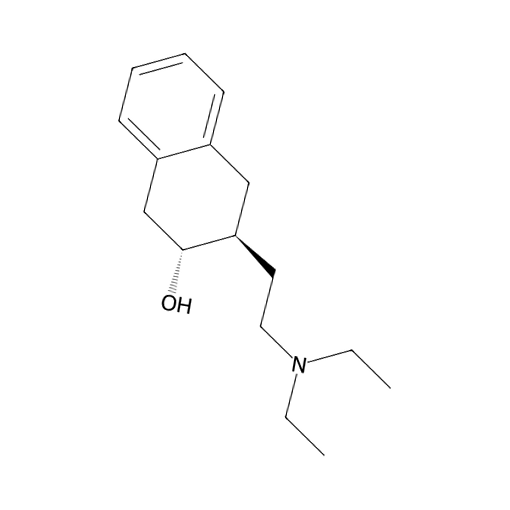 CCN(CC)CC[C@@H]1Cc2ccccc2C[C@H]1O